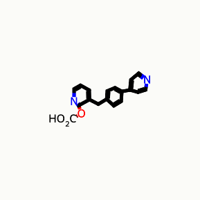 O=C(O)Oc1ncccc1Cc1ccc(-c2ccncc2)cc1